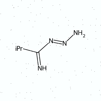 CC(C)C(=N)N=NN